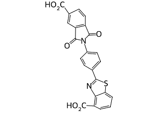 O=C(O)c1ccc2c(c1)C(=O)N(c1ccc(-c3nc4c(C(=O)O)cccc4s3)cc1)C2=O